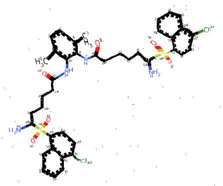 Cc1ccc(C)c(NC(=O)CCCCC(N)S(=O)(=O)c2ccc(Cl)c3ccccc23)c1NC(=O)CCCCC(N)S(=O)(=O)c1ccc(Cl)c2ccccc12